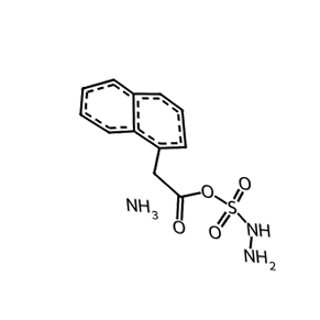 N.NNS(=O)(=O)OC(=O)Cc1cccc2ccccc12